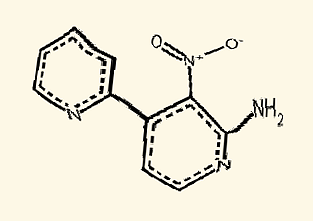 Nc1nccc(-c2ccccn2)c1[N+](=O)[O-]